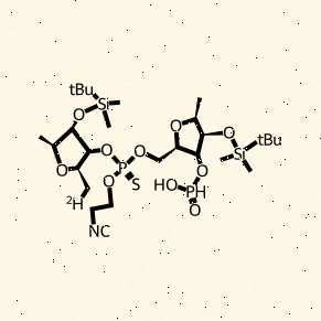 [2H]C[C@H]1O[C@@H](C)[C@@H](O[Si](C)(C)C(C)(C)C)C1OP(=S)(OCC[N+]#[C-])OC[C@H]1O[C@@H](C)[C@@H](O[Si](C)(C)C(C)(C)C)C1O[PH](=O)O